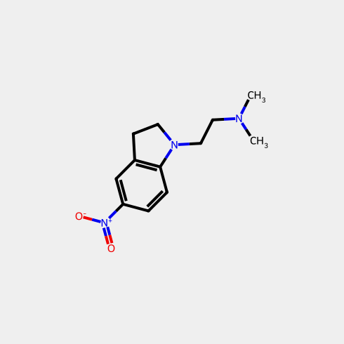 CN(C)CCN1CCc2cc([N+](=O)[O-])ccc21